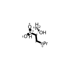 CCCCC[SH](=O)=O.NO